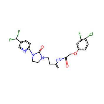 C=C(CCN1CCN(c2ccc(C(F)F)cn2)C1=O)NC(=O)COc1ccc(Cl)c(F)c1